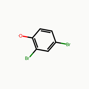 [O]c1ccc(Br)cc1Br